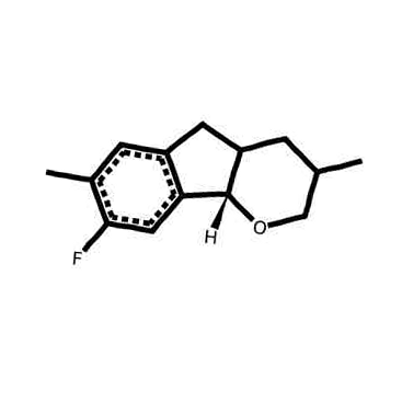 Cc1cc2c(cc1F)[C@H]1OCC(C)CC1C2